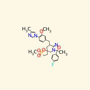 COc1cc(CC2CC3(CCP(=O)(OC)O3)CN3C2=NOC3(C)c2ccc(F)cc2)ccc1-n1cnc(C)c1